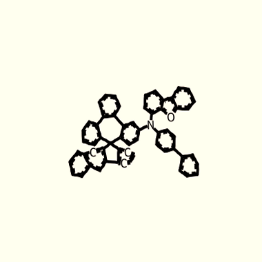 c1ccc(-c2ccc(N(c3ccc4c(c3)-c3ccccc3-c3ccccc3C43c4ccccc4-c4cc5ccccc5cc43)c3cccc4c3oc3ccccc34)cc2)cc1